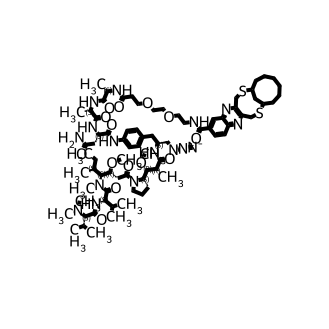 CC[C@H](C)[C@@H]([C@@H](CC(=O)N1CCC[C@H]1[C@H](OC)[C@@H](C)C(=O)N[C@H](CN=[N+]=[N-])Cc1ccc(NC(=O)[C@H](CC(N)=O)NC(=O)[C@H](C)NC(=O)[C@H](C)NC(=O)CCOCCOCCNC(=O)c2ccc3nc4c(nc3c2)CSC2CCCCCCC(C2)SC4)cc1)OC)N(C)C(=O)[C@@H](NC(=O)[C@H](C(C)C)N(C)C)C(C)C